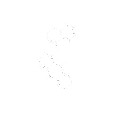 O=C1c2ccccc2C(=O)c2c(Oc3cccc4cccc(Cl)c34)cccc21